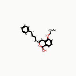 COCOc1cccc2c1C[C@H](CCCCc1ccccc1)OC2O